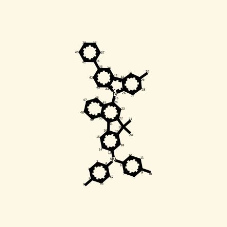 Cc1ccc(N(c2ccc(C)cc2)c2ccc3c(c2)C(C)(C)c2cc(-n4c5ccc(C)cc5c5cc(-c6ccccc6)ccc54)c4ccccc4c2-3)cc1